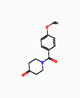 CCCCOc1ccc(C(=O)N2CCC(=O)CC2)cc1